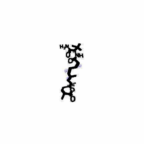 CC1=CC[C@@H]([C@@H](C)/C=C(C)/C=C\C=C/C(=O)N[C@H](C(N)=O)C(C)(C)C)OC1=O